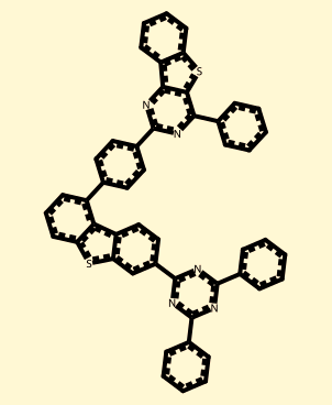 c1ccc(-c2nc(-c3ccccc3)nc(-c3ccc4c(c3)sc3cccc(-c5ccc(-c6nc(-c7ccccc7)c7sc8ccccc8c7n6)cc5)c34)n2)cc1